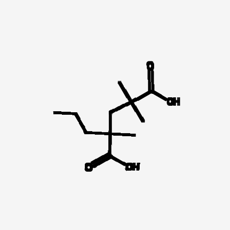 CCCC(C)(CC(C)(C)C(=O)O)C(=O)O